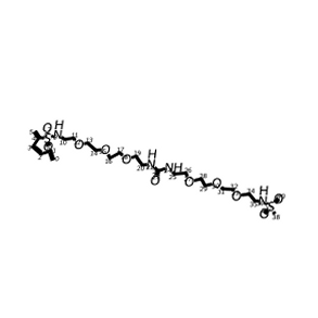 C=C/C=C\C(=C)S(=O)(=O)NCCOCCOCCOCCNC(=O)NCCOCCOCCOCCNS(C)(=O)=O